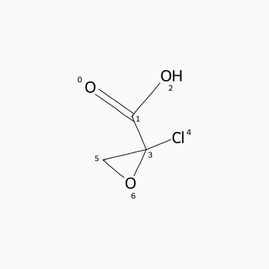 O=C(O)C1(Cl)CO1